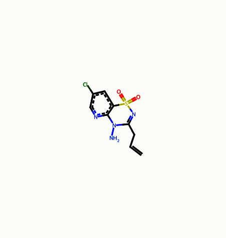 C=CCC1=NS(=O)(=O)c2cc(Cl)cnc2N1N